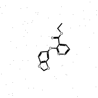 CCOC(=O)c1cccnc1Oc1ccc2c(c1)OCO2